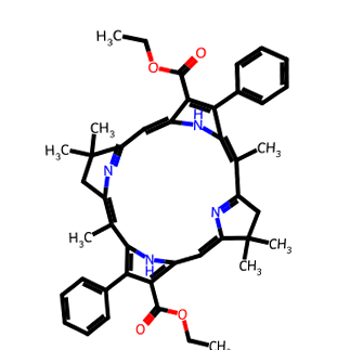 CCOC(=O)c1c(-c2ccccc2)c2[nH]c1cc1nc(c(C)c3[nH]c(cc4nc(c2C)CC4(C)C)c(C(=O)OCC)c3-c2ccccc2)CC1(C)C